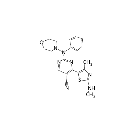 CNc1nc(C)c(-c2nc(N(c3ccccc3)N3CCOCC3)ncc2C#N)s1